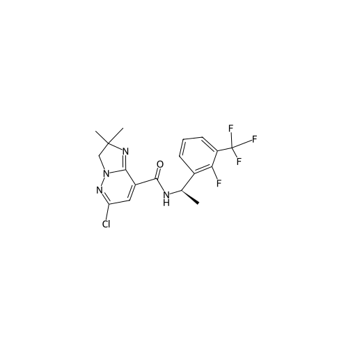 C[C@@H](NC(=O)C1=CC(Cl)=NN2CC(C)(C)N=C12)c1cccc(C(F)(F)F)c1F